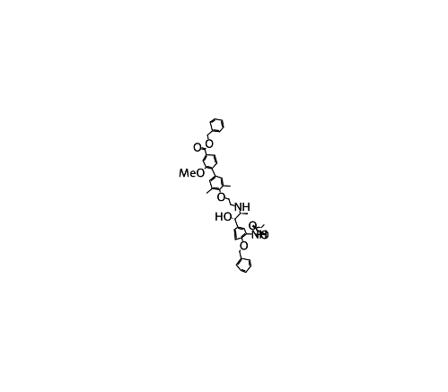 COc1cc(C(=O)OCc2ccccc2)ccc1-c1cc(C)c(OCCN[C@@H](C)[C@@H](O)c2ccc(OCc3ccccc3)c(NS(C)(=O)=O)c2)c(C)c1